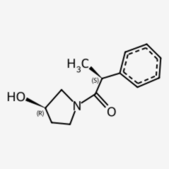 C[C@H](C(=O)N1CC[C@@H](O)C1)c1ccccc1